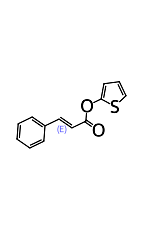 O=C(/C=C/c1ccccc1)Oc1cccs1